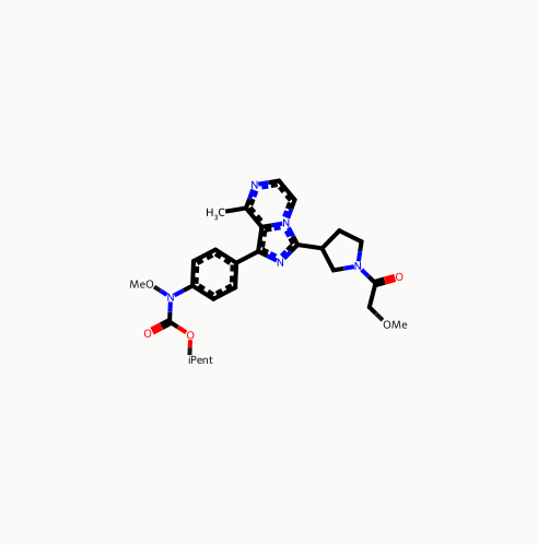 CCCC(C)OC(=O)N(OC)c1ccc(-c2nc(C3CCN(C(=O)COC)C3)n3ccnc(C)c23)cc1